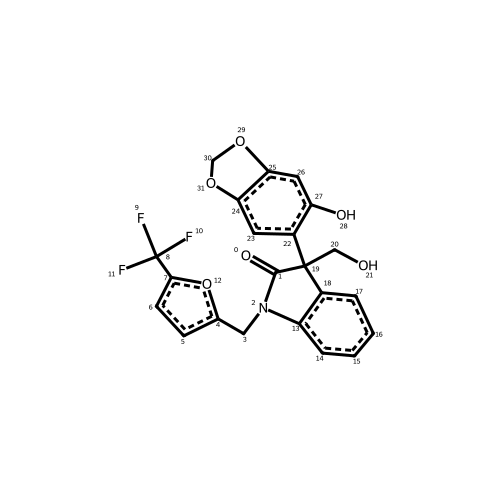 O=C1N(Cc2ccc(C(F)(F)F)o2)c2ccccc2C1(CO)c1cc2c(cc1O)OCO2